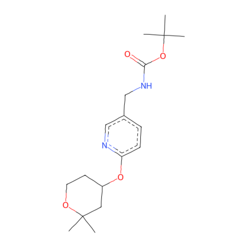 CC(C)(C)OC(=O)NCc1ccc(OC2CCOC(C)(C)C2)nc1